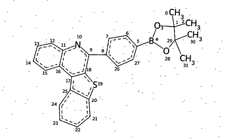 CC1(C)OB(c2ccc(-c3nc4ccccc4c4c3sc3ccccc34)cc2)OC1(C)C